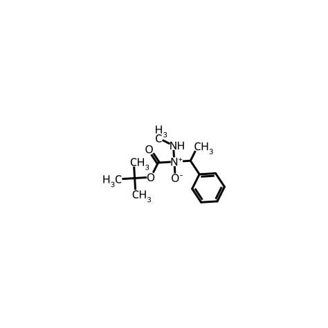 CN[N+]([O-])(C(=O)OC(C)(C)C)C(C)c1ccccc1